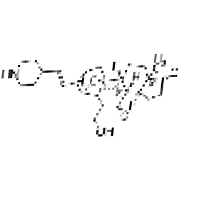 C[C@]12CCC(C=CC3CCNCC3)CC1C(CO)C(=O)[C@@H]1[C@H]2CC[C@]2(C)C(=O)CC[C@@H]12